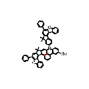 CC(C)(C)c1ccc(N(c2ccc3c(c2)C(C)(C)c2cc(-c4ccccc4)c4oc5ccccc5c4c2-3)c2ccc3c(c2)C(C)(C)c2cc(-c4ccccc4)c4oc5ccccc5c4c2-3)c(-c2ccccc2)c1